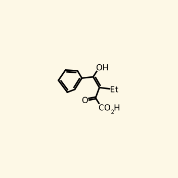 CCC(C(=O)C(=O)O)=C(O)c1ccccc1